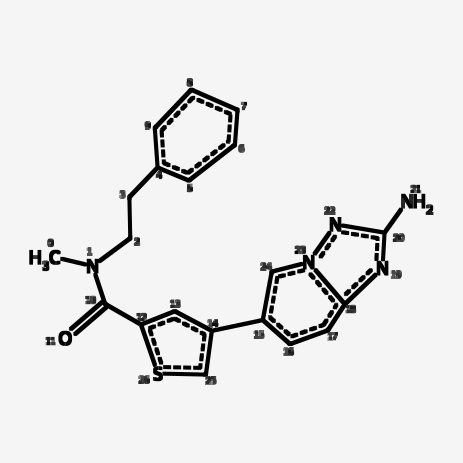 CN(CCc1ccccc1)C(=O)c1cc(-c2ccc3nc(N)nn3c2)cs1